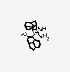 COc1cc2c3c(cccc3c1N(C(=N)N)C13CC4CC(CC(C4)C1)C3)C=C2